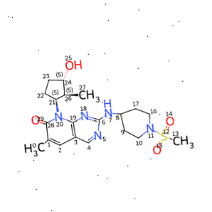 Cc1cc2cnc(NC3CCN(S(C)(=O)=O)CC3)nc2n([C@H]2CC[C@H](O)[C@H]2C)c1=O